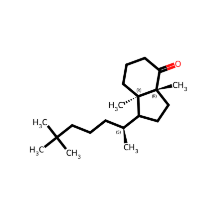 C[C@@H](CCCC(C)(C)C)C1CC[C@@]2(C)C(=O)CCC[C@]12C